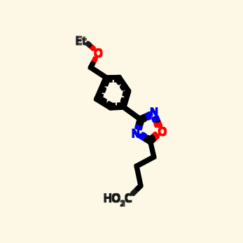 CCOCc1ccc(-c2noc(CCCC(=O)O)n2)cc1